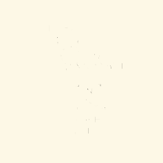 CC(C)(C)OC(=O)N1C[C@@H](C(=O)O)[C@H](c2ccc(C(F)(F)F)cc2)C1